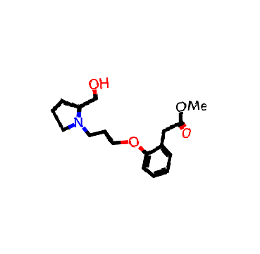 COC(=O)Cc1ccccc1OCCCN1CCCC1CO